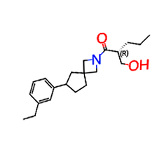 CCC[C@H](CO)C(=O)N1CC2(CCC(c3cccc(CC)c3)C2)C1